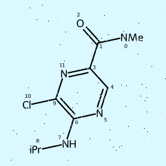 CNC(=O)c1cnc(NC(C)C)c(Cl)n1